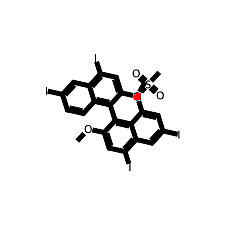 COc1cc(I)c2cc(I)ccc2c1-c1c(OC)cc(I)c2cc(I)cc(OS(C)(=O)=O)c12